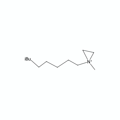 CCC(C)CCCCC[N+]1(C)CC1